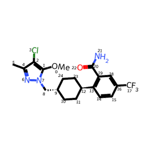 COc1c(Cl)c(C)nn1C[C@H]1CC[C@H](c2ccc(C(F)(F)F)cc2C(N)=O)CC1